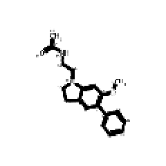 COc1cc2c(cc1-c1ccccc1)CCN2CCNC(C)=O